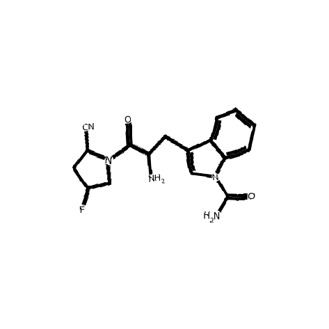 N#CC1CC(F)CN1C(=O)C(N)Cc1cn(C(N)=O)c2cc[c]cc12